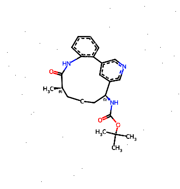 C[C@@H]1CCC[C@H](NC(=O)OC(C)(C)C)c2cncc(c2)-c2ccccc2NC1=O